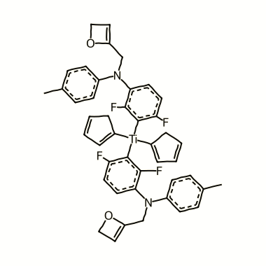 Cc1ccc(N(CC2=CCO2)c2ccc(F)[c]([Ti]([C]3=CC=CC3)([C]3=CC=CC3)[c]3c(F)ccc(N(CC4=CCO4)c4ccc(C)cc4)c3F)c2F)cc1